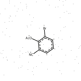 CC(=O)Oc1c(Br)cccc1C#N